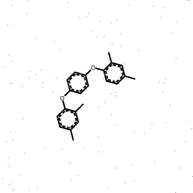 Cc1ccc(Oc2ccc(Oc3ccc(C)cc3C)cc2)c(C)c1